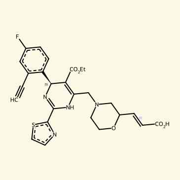 C#Cc1cc(F)ccc1[C@@H]1N=C(c2nccs2)NC(CN2CCOC(/C=C/C(=O)O)C2)=C1C(=O)OCC